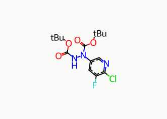 CC(C)(C)OC(=O)NN(C(=O)OC(C)(C)C)c1cnc(Cl)c(F)c1